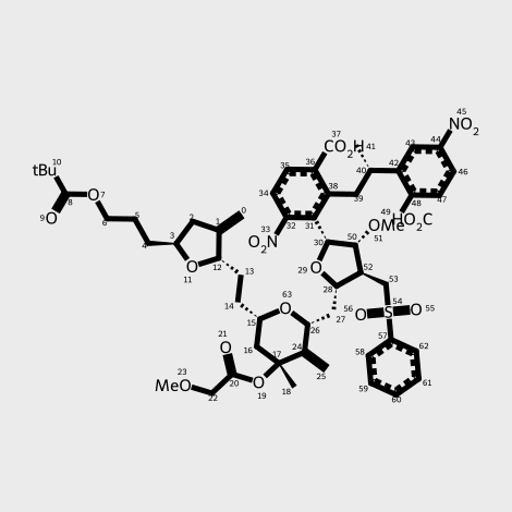 C=C1C[C@H](CCCOC(=O)C(C)(C)C)O[C@H]1CC[C@H]1C[C@@](C)(OC(=O)COC)C(=C)[C@@H](C[C@@H]2O[C@H](c3c([N+](=O)[O-])ccc(C(=O)O)c3C[C@H](C)c3cc([N+](=O)[O-])ccc3C(=O)O)[C@H](OC)[C@H]2CS(=O)(=O)c2ccccc2)O1